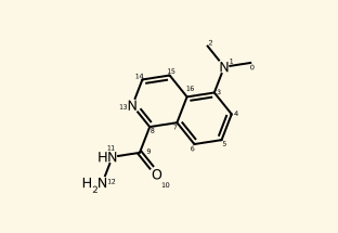 CN(C)c1cccc2c(C(=O)NN)nccc12